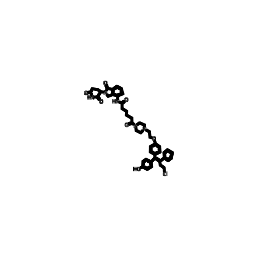 O=C1CCC(N2Cc3c(NC(=O)CCCCC(=O)N4CCN(CCOc5ccc(C(=C(CCCl)c6ccccc6)c6ccc(O)cc6)cc5)CC4)cccc3C2=O)C(=O)N1